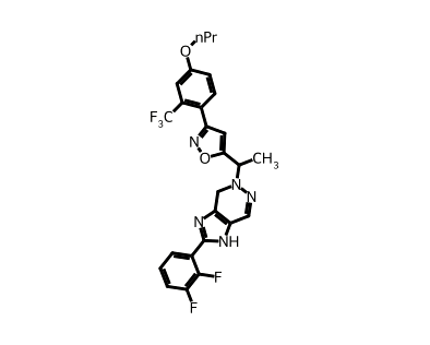 CCCOc1ccc(-c2cc(C(C)N3Cc4nc(-c5cccc(F)c5F)[nH]c4C=N3)on2)c(C(F)(F)F)c1